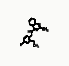 CCc1cc(F)ccc1CNc1nc(C)nc2ccccc12